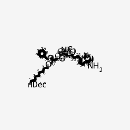 CCCCCCCCCCCCCCCCCCOC[C@H](COP(=O)(O)OC[C@H](CCc1ccc2c(N)ncnn12)OC#N)OCc1ccccc1